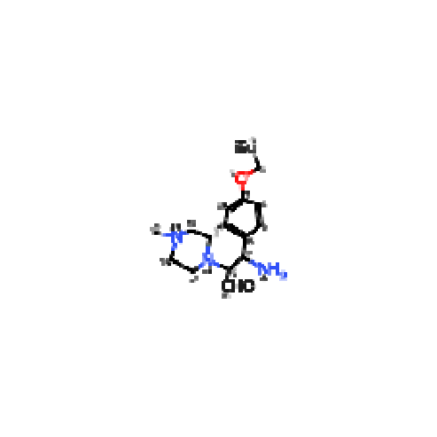 CCC(C)COc1ccc(C(N)C(C=O)N2CCN(C)CC2)cc1